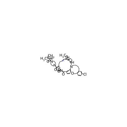 CO[C@H]1/C=C/CC[C@H](C(=O)N2CCN(S(=O)(=O)N(C)C)CC2)S(=O)(=O)NC(=O)c2ccc3c(c2)N(CCCCc2cc(Cl)ccc2CO3)C[C@@H]2CC[C@H]21